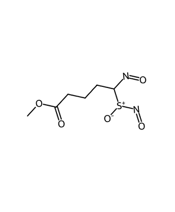 COC(=O)CCCC(N=O)[S+]([O-])N=O